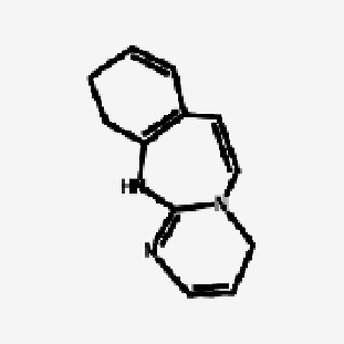 C1=CC2=C(CC1)NC1=NC=CCN1C=C2